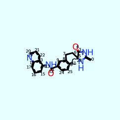 C=C1NC(=O)C2(CCc3cc(C(=O)Nc4cccc5ncccc45)ccc3C2)N1